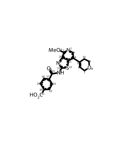 COc1ncc(C2=CCOCC2)c2sc(NC(=O)c3ccc(C(=O)O)cc3)nc12